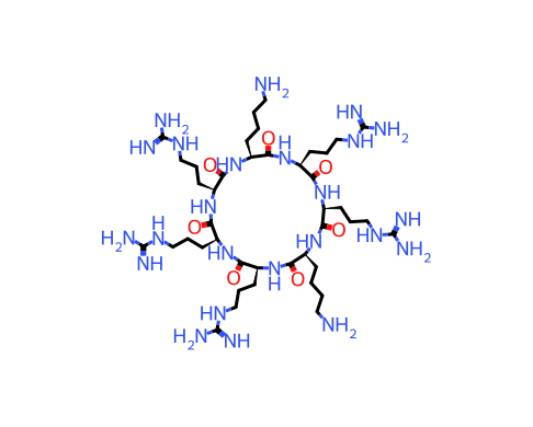 N=C(N)NCCC[C@@H]1NC(=O)[C@H](CCCCN)NC(=O)[C@H](CCCNC(=N)N)NC(=O)[C@H](CCCNC(=N)N)NC(=O)[C@H](CCCNC(=N)N)NC(=O)[C@H](CCCCN)NC(=O)[C@H](CCCNC(=N)N)NC1=O